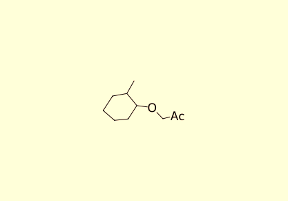 CC(=O)COC1CCCCC1C